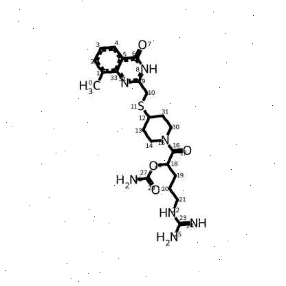 Cc1cccc2c(=O)[nH]c(CSC3CCN(C(=O)C(CCCNC(=N)N)OC(N)=O)CC3)nc12